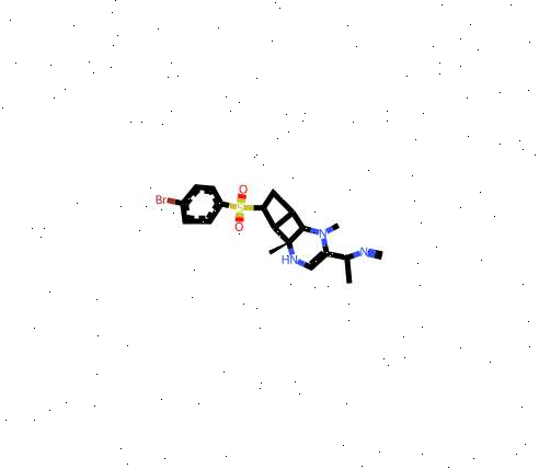 C=NC(C)C1=CN[C@]2(C)C3C(CC3S(=O)(=O)c3ccc(Br)cc3)C2N1C